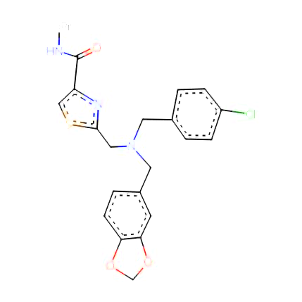 CC(C)NC(=O)c1csc(CN(Cc2ccc(Cl)cc2)Cc2ccc3c(c2)OCO3)n1